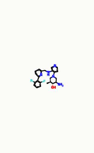 C[C@H]1CN(c2ccncc2NCc2cccc(-c3c(F)cccc3F)n2)CC(N)[C@@H]1O